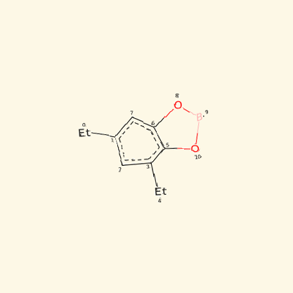 CCc1cc(CC)c2c(c1)O[B]O2